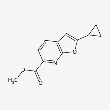 COC(=O)c1ccc2cc(C3CC3)oc2n1